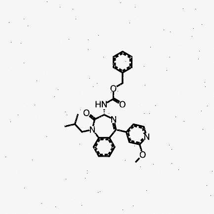 COc1cc(C2=N[C@@H](NC(=O)OCc3ccccc3)C(=O)N(CC(C)C)c3ccccc32)ccn1